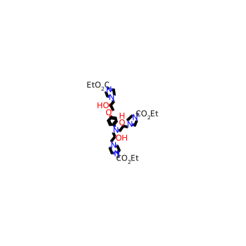 CCOC(=O)N1CCN(CC(O)COc2ccc(N(CC(O)CN3CCN(C(=O)OCC)CC3)CC(O)CN3CCN(C(=O)OCC)CC3)cc2)CC1